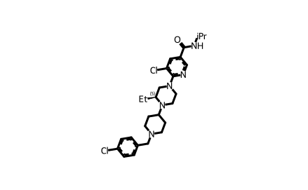 CC[C@H]1CN(c2ncc(C(=O)NC(C)C)cc2Cl)CCN1C1CCN(Cc2ccc(Cl)cc2)CC1